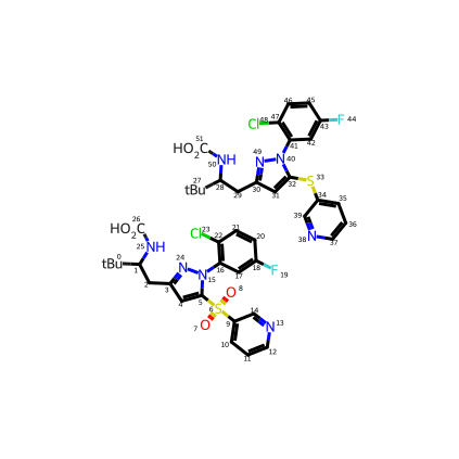 CC(C)(C)C(Cc1cc(S(=O)(=O)c2cccnc2)n(-c2cc(F)ccc2Cl)n1)NC(=O)O.CC(C)(C)C(Cc1cc(Sc2cccnc2)n(-c2cc(F)ccc2Cl)n1)NC(=O)O